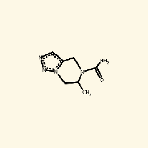 CC1Cn2nncc2CN1C(N)=O